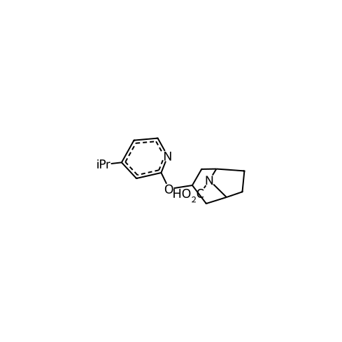 CC(C)c1ccnc(OC2CC3CCC(C2)N3C(=O)O)c1